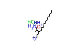 CCCCCCCCCCCCC(CCCN(C)C)=C(C)C(N)=O.Cl.N